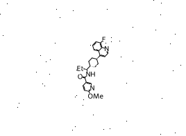 CC[C@H](NC(=O)c1ccc(OC)nc1)[C@H]1CC[C@H](c2ccnc3c(F)cccc32)CC1